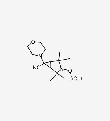 CCCCCCCCON1C(C)(C)C2C(C1(C)C)C2(C#N)N1CCOCC1